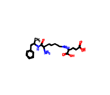 CC(Cc1ccccc1)NC(=O)C(N)CCCCNC(CCC(=O)O)C(=O)O